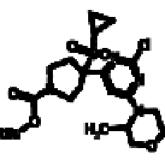 CC1COCCN1c1cc(C2(S(=O)(=O)C3CC3)CCN(C(=O)OC(C)(C)C)CC2)nc(Cl)n1